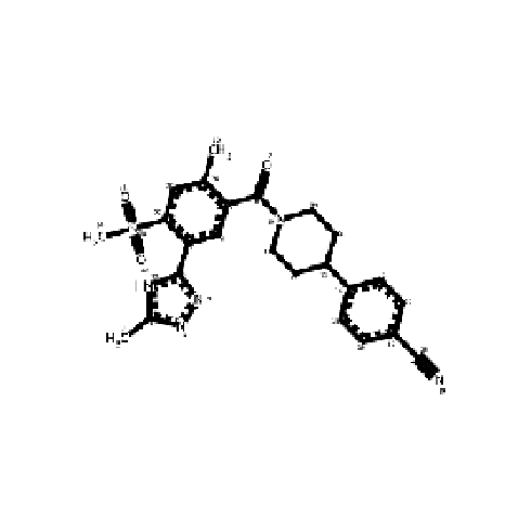 Cc1nnc(-c2cc(C(=O)N3CCC(c4ccc(C#N)cc4)CC3)c(C)cc2S(C)(=O)=O)[nH]1